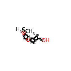 CC(C)Oc1ccc(Oc2ccc3cc(CCO)ccc3c2)cc1